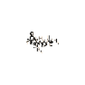 CC(=O)Nc1ccnc(N[C@@H](C)c2cc3cc(Cl)cc(F)c3[nH]c2=O)c1